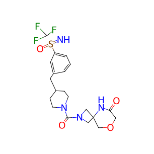 N=[S@@](=O)(c1cccc(CC2CCN(C(=O)N3CC4(COCC(=O)N4)C3)CC2)c1)C(F)(F)F